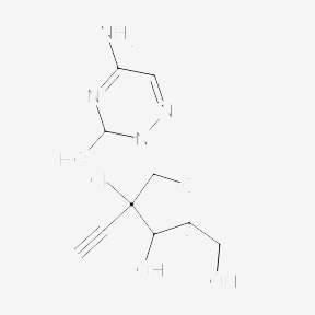 C#CC1(Cl)C(O)[C@@H]([C@H](C)O)O[C@H]1N1N=CC(N)=NC1O